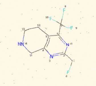 FCc1nc2c(c(C(F)(F)F)n1)CCNC2